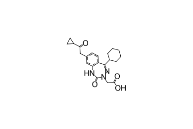 O=C(O)CN1N=C(C2CCCCC2)c2ccc(CC(=O)C3CC3)cc2NC1=O